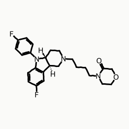 O=C1COCCN1CCCCN1CC[C@@H]2[C@@H](C1)c1cc(F)ccc1N2c1ccc(F)cc1